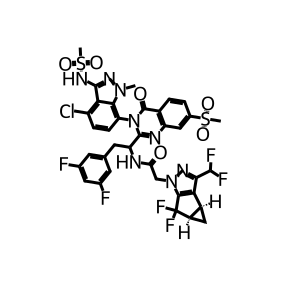 Cn1nc(NS(C)(=O)=O)c2c(Cl)ccc(-n3c(C(Cc4cc(F)cc(F)c4)NC(=O)Cn4nc(C(F)F)c5c4C(F)(F)[C@@H]4C[C@H]54)nc4cc(S(C)(=O)=O)ccc4c3=O)c21